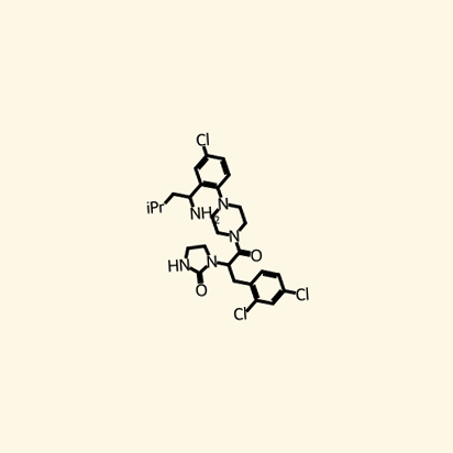 CC(C)CC(N)c1cc(Cl)ccc1N1CCN(C(=O)C(Cc2ccc(Cl)cc2Cl)N2CCNC2=O)CC1